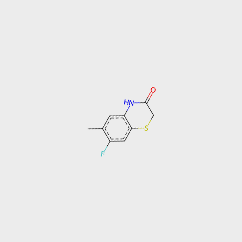 Cc1cc2c(cc1F)SCC(=O)N2